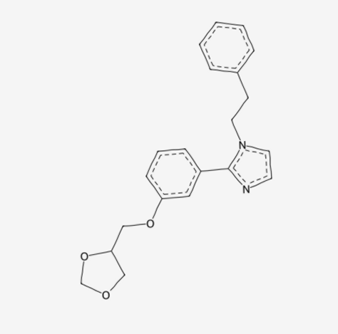 c1ccc(CCn2ccnc2-c2cccc(OCC3COCO3)c2)cc1